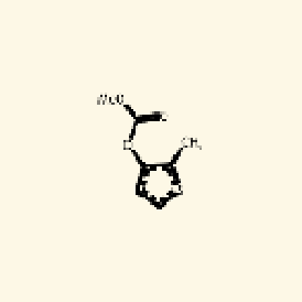 COC(=O)Oc1ccsc1C